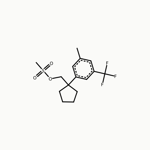 Cc1cc(C(F)(F)F)cc(C2(COS(C)(=O)=O)CCCC2)c1